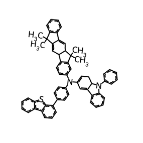 CC1(C)C2=CC3c4ccc(N(C5=CCC6C(=C5)c5ccccc5N6c5ccccc5)c5ccc(-c6cccc7c6sc6ccccc67)cc5)cc4C(C)(C)C3C=C2c2ccccc21